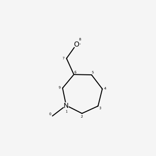 CN1CCCCC(C[O])C1